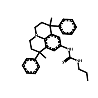 CCCNC(=S)Nc1cc2c3c(c1)C(C)(c1ccccc1)CCN3CCC2(C)c1ccccc1